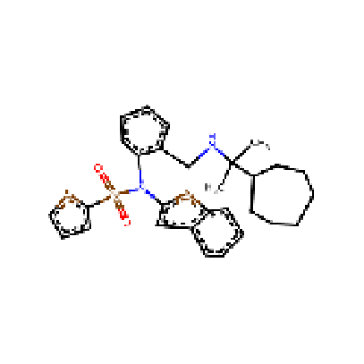 CC(C)(NCc1ccccc1N(c1cc2ccccc2s1)S(=O)(=O)c1cccs1)C1CCCCCC1